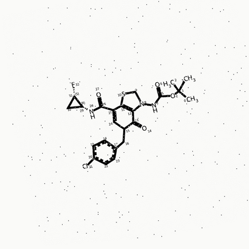 CC(C)(C)OC(=O)NN1CSC2=C1C(=O)C(Cc1ccc(Cl)cc1)C=C2C(=O)N[C@@H]1C[C@@H]1F